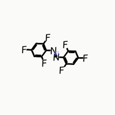 Fc1cc(F)c(/N=N/c2c(F)cc(F)cc2F)c(F)c1